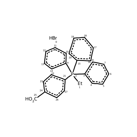 Br.CCP(c1ccccc1)(c1ccccc1)(c1ccccc1)c1ccc(C(=O)O)cc1